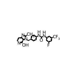 Cc1nc2ccnc(O)c2n1Cc1ccc(NC(=O)Nc2cc(F)cc(C(F)(F)F)c2)cc1